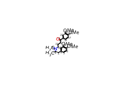 COc1ccc(CC(C)N(C)CCCC(=O)c2ccc(OC)c(OC)c2)cc1OC